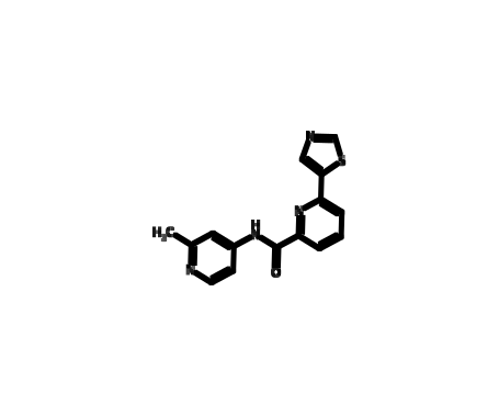 Cc1cc(NC(=O)c2cccc(-c3cncs3)n2)ccn1